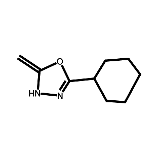 C=C1NN=C(C2CCCCC2)O1